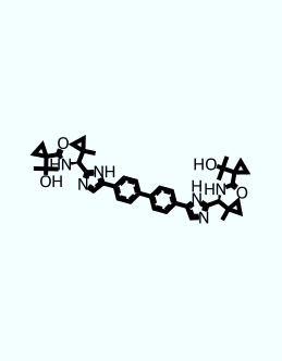 CC1([C@H](NC(=O)C2(C(C)(C)O)CC2)c2ncc(-c3ccc(-c4ccc(-c5cnc([C@@H](NC(=O)C6(C(C)(C)O)CC6)C6(C)CC6)[nH]5)cc4)cc3)[nH]2)CC1